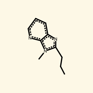 CCCc1nc2cccnc2n1C